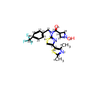 Cc1nc(C)c(-c2csc(N(Cc3ccc(C(F)(F)F)cc3)C(=O)C3CN(O)C3)n2)s1